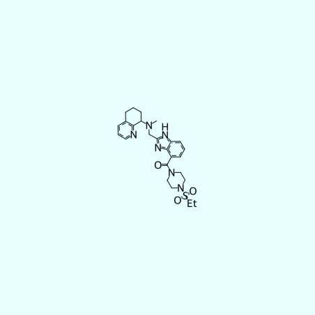 CCS(=O)(=O)N1CCN(C(=O)c2cccc3[nH]c(CN(C)C4CCCc5cccnc54)nc23)CC1